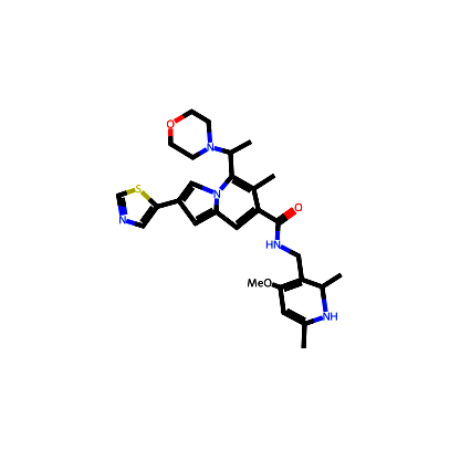 COC1=C(CNC(=O)c2cc3cc(-c4cncs4)cn3c(C(C)N3CCOCC3)c2C)C(C)NC(C)=C1